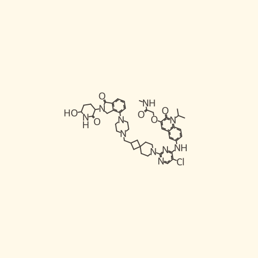 CNC(=O)COc1cc2cc(Nc3nc(N4CCC5(CC4)CC(CN4CCN(c6cccc7c6CN(C6CCC(O)NC6=O)C7=O)CC4)C5)ncc3Cl)ccc2n(C(C)C)c1=O